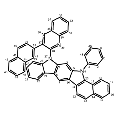 c1ccc(-n2c3cc4c(cc3c3ccc5ccccc5c32)c2ccccc2n4-c2nc3ccccc3nc2-c2ccc3ccccc3c2)cc1